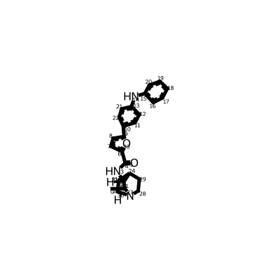 C[C@H]1[C@H](NC(=O)c2ccc(-c3ccc(Nc4ccccc4)cc3)o2)C2CCN1CC2